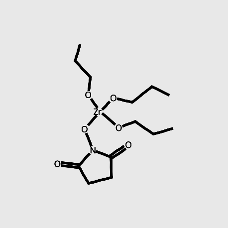 CCC[O][Zr]([O]CCC)([O]CCC)[O]N1C(=O)CCC1=O